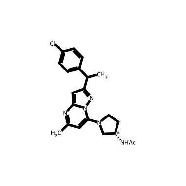 CC(=O)N[C@H]1CCN(c2cc(C)nc3cc(C(C)c4ccc(Cl)cc4)nn23)C1